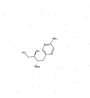 CCCCc1cnc(C[C@H](NC)[C@H](O)CO)cn1